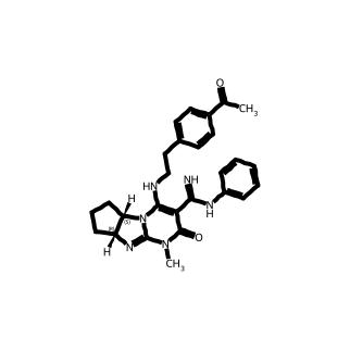 CC(=O)c1ccc(CCNC2=C(C(=N)Nc3ccccc3)C(=O)N(C)C3=N[C@@H]4CCC[C@@H]4N32)cc1